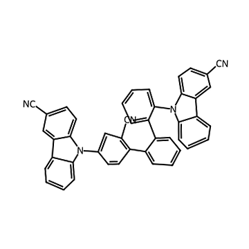 N#Cc1ccc2c(c1)c1ccccc1n2-c1ccc(-c2ccccc2-c2ccccc2-n2c3ccccc3c3cc(C#N)ccc32)c(C#N)c1